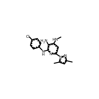 CNc1cc(-n2nc(C)cc2C)nc(Nc2ccc(Cl)cc2)c1N